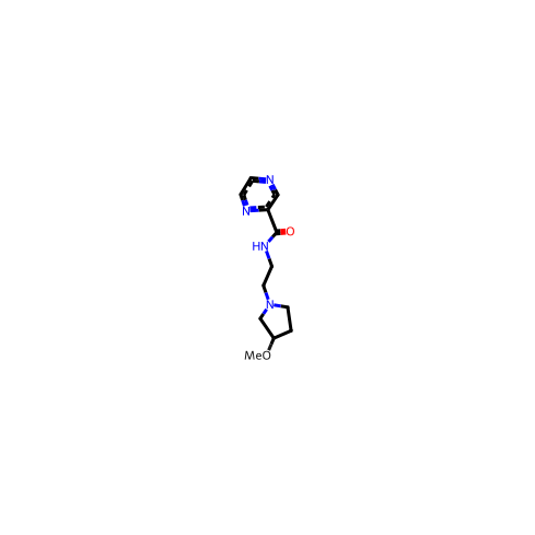 COC1CCN(CCNC(=O)c2cnccn2)C1